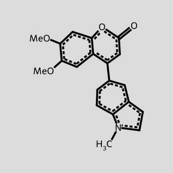 COc1cc2oc(=O)cc(-c3ccc4c(ccn4C)c3)c2cc1OC